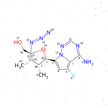 C[C@H]1[C@H](c2cc(F)c3c(N)ncnn23)O[C@@](CO)(N=[N+]=[N-])[C@H]1C